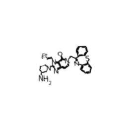 CC/C=C/n1c(N2CCCC(N)C2)nc2ccn(CC3=Nc4ccccc4Sc4ccccc43)c(=O)c21